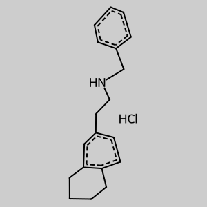 Cl.c1ccc(CNCCc2ccc3c(c2)CCCC3)cc1